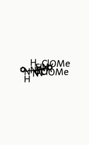 COc1cc(OC)c(Cl)c(NC(=O)c2csc3c(NCCNc4ccccc4)ncnc23)c1Cl